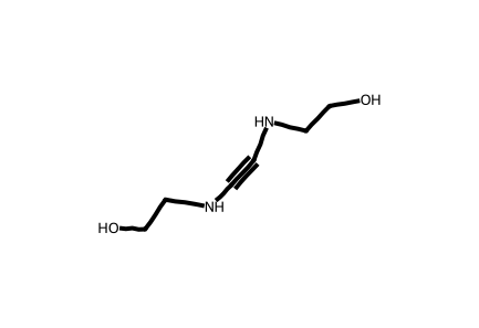 OCCNC#CNCCO